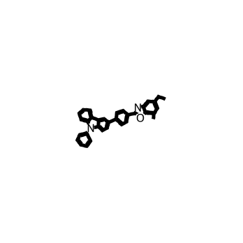 CCc1cc(C)c2oc(-c3ccc(-c4ccc5c(c4)c4ccccc4n5-c4ccccc4)cc3)nc2c1